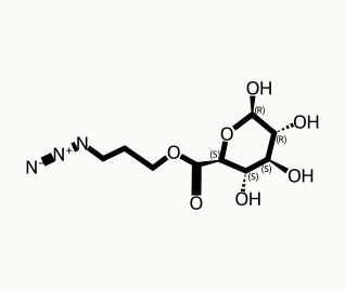 [N-]=[N+]=NCCCOC(=O)[C@H]1O[C@@H](O)[C@H](O)[C@@H](O)[C@@H]1O